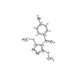 CCc1nnn(CC)c1C(=O)c1ccc(Br)cc1